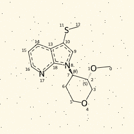 CO[C@@H]1COCC[C@H]1n1cc(SC)c2cccnc21